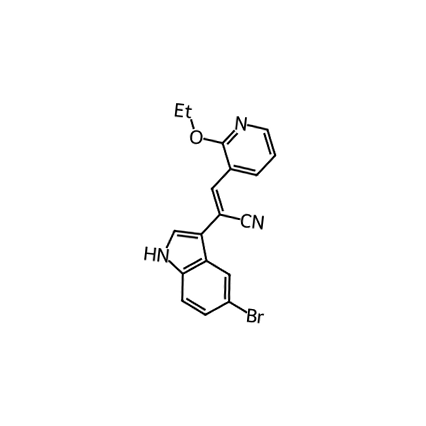 CCOc1ncccc1/C=C(\C#N)c1c[nH]c2ccc(Br)cc12